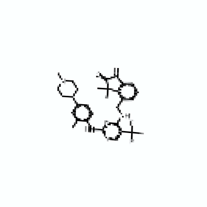 Cc1cc(C2CCN(C)CC2)ccc1Nc1ncc(C(F)(F)F)c(NCc2cccc3c2C(C)(C)C(=O)N3)n1